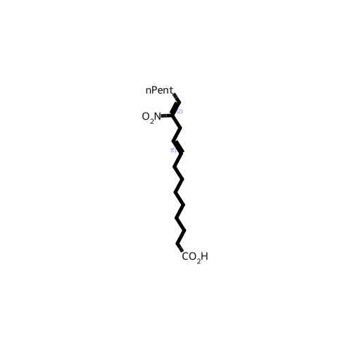 CCCCC/C=C(/C/C=C/CCCCCCCC(=O)O)[N+](=O)[O-]